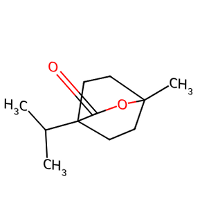 CC(C)C12CCC(C)(CC1)OC2=O